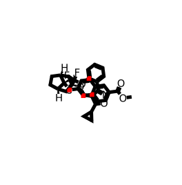 COC(=O)c1ccc2cc(S[C@H]3[C@@H]4CC[C@H]3C[C@H](OCc3c(-c5ccccc5OC(F)(F)F)noc3C3CC3)C4)ccc2c1